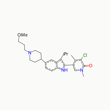 COCCCN1CCC(c2ccc3[nH]c(-c4cn(C)c(=O)c(Cl)c4C)c(C(C)C)c3c2)CC1